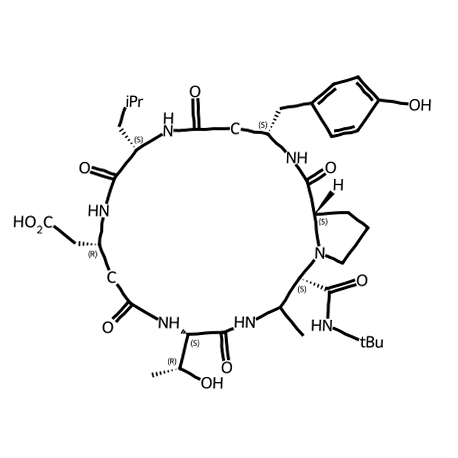 CC(C)C[C@@H]1NC(=O)C[C@H](Cc2ccc(O)cc2)NC(=O)[C@@H]2CCCN2[C@H](C(=O)NC(C)(C)C)C(C)NC(=O)[C@H]([C@@H](C)O)NC(=O)C[C@H](CC(=O)O)NC1=O